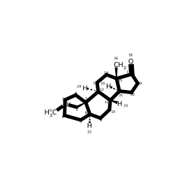 COC[C@]12CCCC[C@@H]1CC[C@@H]1[C@@H]2CC[C@]2(C)C(=O)CC[C@@H]12